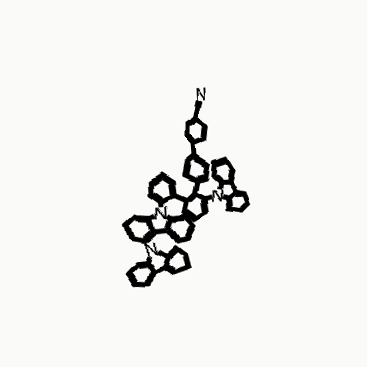 N#Cc1ccc(-c2ccc(-c3c(-c4ccccc4-n4c5ccccc5c5c(-n6c7ccccc7c7ccccc76)cccc54)cccc3-n3c4ccccc4c4ccccc43)cc2)cc1